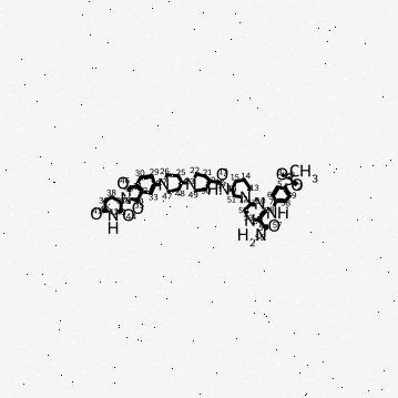 CS(=O)(=O)c1ccc(Nc2nc(N3CCC[C@@H](NC(=O)C4CCN(C5CCN(c6ccc7c(c6)C(=O)N(C6CCC(=O)NC6=O)C7=O)CC5)CC4)C3)cnc2C(N)=O)cc1